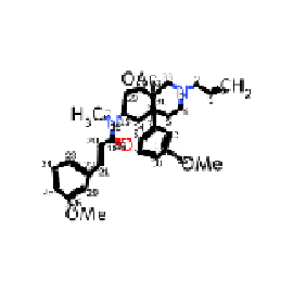 C=CCN1CCC2(c3cccc(OC)c3)CC(N(C)C(=O)/C=C/c3cccc(OC)c3)CCC2(OC(C)=O)C1